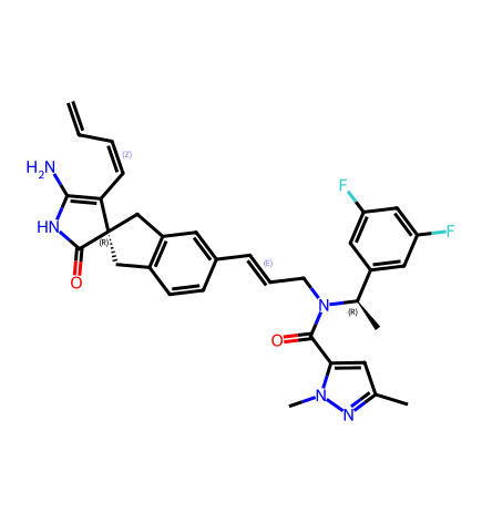 C=C/C=C\C1=C(N)NC(=O)[C@@]12Cc1ccc(/C=C/CN(C(=O)c3cc(C)nn3C)[C@H](C)c3cc(F)cc(F)c3)cc1C2